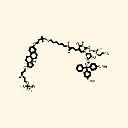 CCCC(OCCN(C)CCO[C@H]1CC[C@H]2C3CCc4cc(OCCC(C)(C)SSCCCCCCNC(=O)CCc5cn([C@H]6C[C@H](OP(CCC#N)N(C(C)C)C(C)C)[C@@H](COC(c7ccccc7)(c7ccc(OC)cc7)c7ccc(OC)cc7)O6)c(=O)[nH]c5=O)ccc4C3CC[C@]12C)(C(F)(F)F)C(F)(F)F